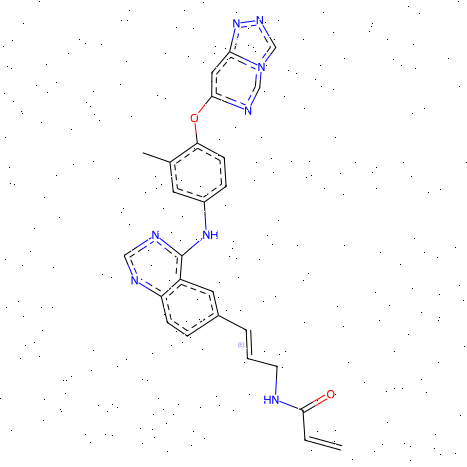 C=CC(=O)NC/C=C/c1ccc2ncnc(Nc3ccc(Oc4cc5nncn5cn4)c(C)c3)c2c1